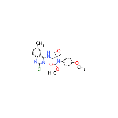 COC(=O)N(c1ccc(OC)cc1)C1(CNc2nc(Cl)nc3ccc(C)cc23)COC1